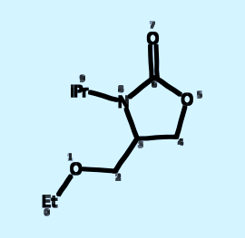 CCOCC1COC(=O)N1C(C)C